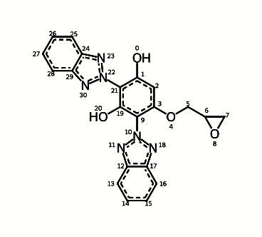 Oc1cc(OCC2CO2)c(-n2nc3ccccc3n2)c(O)c1-n1nc2ccccc2n1